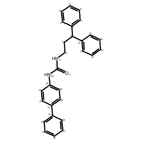 O=C(NCCC(c1ccccc1)c1ccccc1)Nc1ccc(-c2ccccc2)cc1